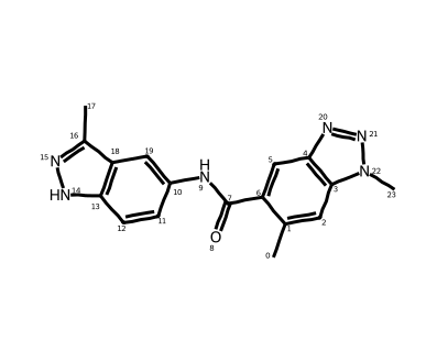 Cc1cc2c(cc1C(=O)Nc1ccc3[nH]nc(C)c3c1)nnn2C